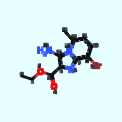 CCOC(=O)c1nc2c(Br)ccc(C)n2c1N